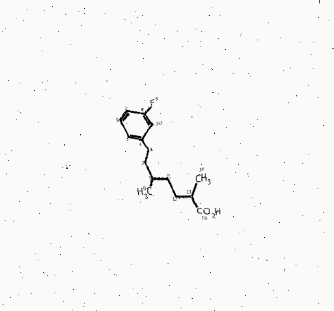 CC(CCc1cccc(F)c1)CCC(C)C(=O)O